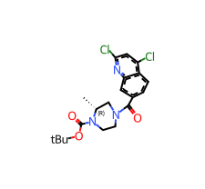 C[C@@H]1CN(C(=O)c2ccc3c(Cl)cc(Cl)nc3c2)CCN1C(=O)OC(C)(C)C